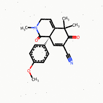 COc1ccc([C@@]23C=C(C#N)C(=O)C(C)(C)C2=CCN(C)C3=O)cc1